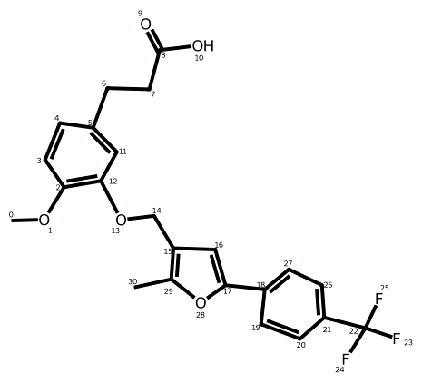 COc1ccc(CCC(=O)O)cc1OCc1cc(-c2ccc(C(F)(F)F)cc2)oc1C